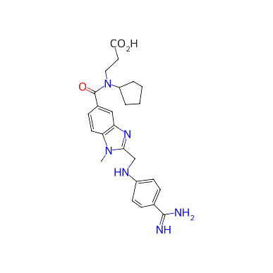 Cn1c(CNc2ccc(C(=N)N)cc2)nc2cc(C(=O)N(CCC(=O)O)C3CCCC3)ccc21